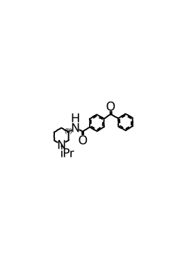 CC(C)N1CCC[C@@H](NC(=O)c2ccc(C(=O)c3ccccc3)cc2)C1